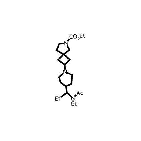 CCOC(=O)N1CCC2(CC(N3CCC(C(CC)N(CC)C(C)=O)CC3)C2)C1